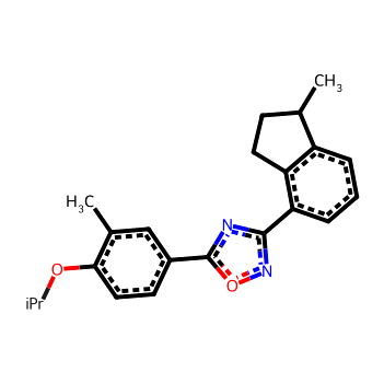 Cc1cc(-c2nc(-c3cccc4c3CCC4C)no2)ccc1OC(C)C